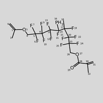 C=C(C)OCC(F)(F)C(F)(F)C(F)(F)[C@@](F)(P)C(C)(F)C(F)(F)C(F)(F)COC(=O)C(=C)C